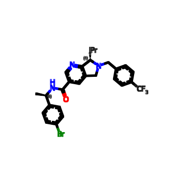 CC(C)[C@H]1c2ncc(C(=O)N[C@H](C)c3ccc(Br)cc3)cc2CN1Cc1ccc(C(F)(F)F)cc1